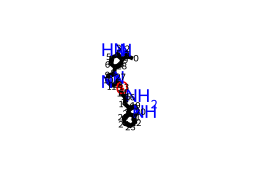 Cc1n[nH]c2ccc(-c3cncc(OC[C@@H](N)Cc4c[nH]c5ccccc45)n3)cc12